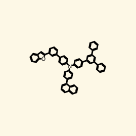 c1ccc(-c2cc(-c3ccccc3)cc(-c3ccc(N(c4ccc(-c5cccc(-c6cc7ccccc7o6)c5)cc4)c4ccc(-c5cccc6ccccc56)cc4)cc3)c2)cc1